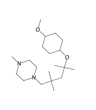 COC1CCC(OC(C)(C)CC(C)(C)CN2CCN(C)CC2)CC1